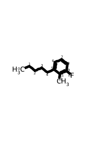 CCCCCc1cccc(F)c1C